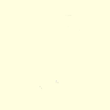 CN1C=CN(Cc2ccc(CC(=O)O)cc2)C1